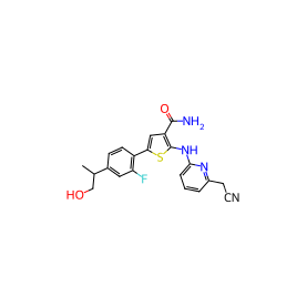 CC(CO)c1ccc(-c2cc(C(N)=O)c(Nc3cccc(CC#N)n3)s2)c(F)c1